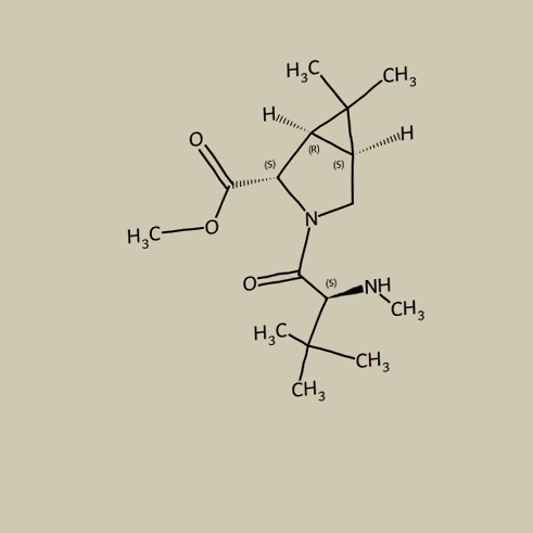 CN[C@H](C(=O)N1C[C@H]2[C@@H]([C@H]1C(=O)OC)C2(C)C)C(C)(C)C